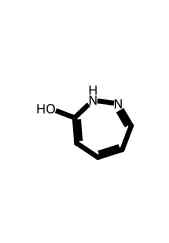 OC1=CC=CC=NN1